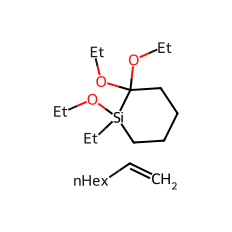 C=CCCCCCC.CCOC1(OCC)CCCC[Si]1(CC)OCC